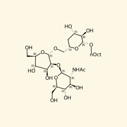 CCCCCCCCO[C@@H]1O[C@H](CO[C@H]2O[C@H](CO)[C@@H](O)[C@H](O)[C@@H]2O[C@@H]2O[C@H](CO)[C@@H](O)[C@H](O)[C@H]2NC(C)=O)C[C@H](O)[C@H]1O